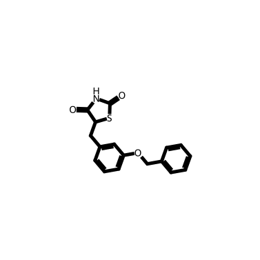 O=C1NC(=O)C(Cc2cccc(OCc3ccccc3)c2)S1